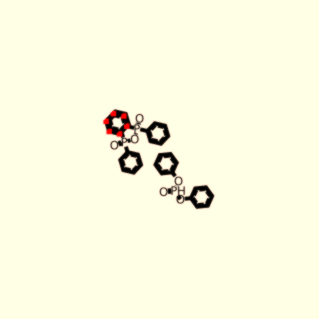 O=P(OP(=O)(c1ccccc1)c1ccccc1)(c1ccccc1)c1ccccc1.O=[PH](Oc1ccccc1)Oc1ccccc1